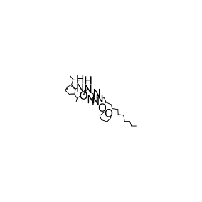 CCCCCCCCCC(Cn1nnc(NC(=O)Nc2c(C(C)C)cccc2C(C)C)n1)OC1CCCCO1